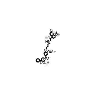 COc1cc(C(=O)N2CCC(C(=O)O)(c3ccccc3)CC2)ccc1OCCCCCNC[C@H](O)c1ccc(O)c2[nH]c(=O)ccc12